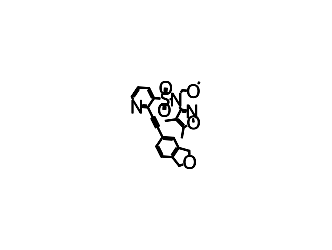 COCN(c1noc(C)c1C)S(=O)(=O)c1cccnc1C#Cc1ccc2c(c1)COC2